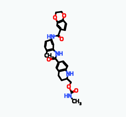 CNC(=O)OCC1CCc2cc(C(=O)Nc3cc(NC(=O)c4ccc5c(c4)OCCO5)ccc3C)ccc2N1